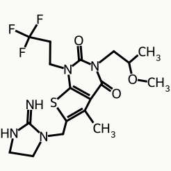 COC(C)Cn1c(=O)c2c(C)c(CN3CCNC3=N)sc2n(CCC(F)(F)F)c1=O